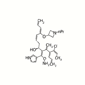 C=C/C=C(C(=C)/C(=C(\ON)c1cc[nH]c1)[C@@H](O)C/C=C\C(=C/C=C)OC1CN(CCC)C1)\C(Cl)=C/C